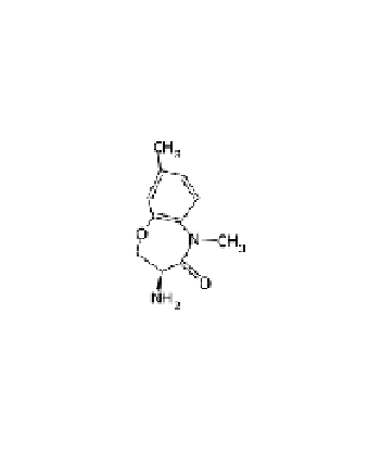 Cc1ccc2c(c1)OC[C@H](N)C(=O)N2C